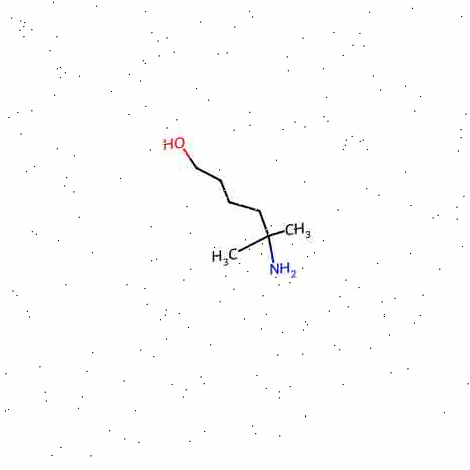 CC(C)(N)CCCCO